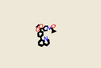 O=C(C1CC1)N1CCC(C2(c3ccc(-c4cccc5cccnc45)cc3)OCCO2)CC1